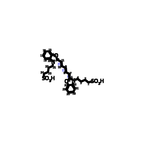 O=S(=O)(O)CCCCN1/C(=C/C=C/C=C/c2oc3ccccc3[n+]2CCCCS(=O)(=O)O)Oc2ccccc21